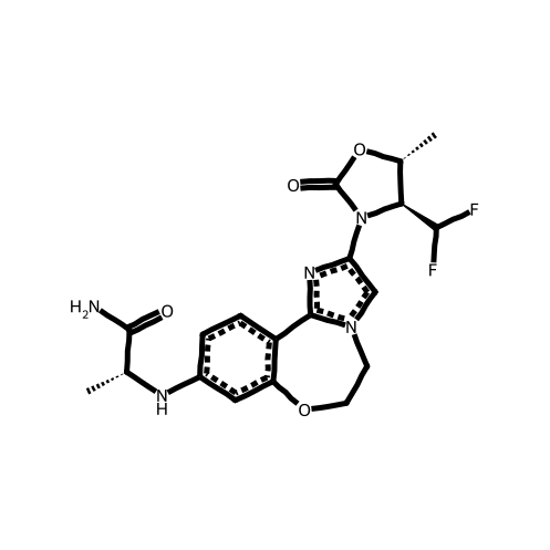 C[C@@H](Nc1ccc2c(c1)OCCn1cc(N3C(=O)O[C@H](C)[C@H]3C(F)F)nc1-2)C(N)=O